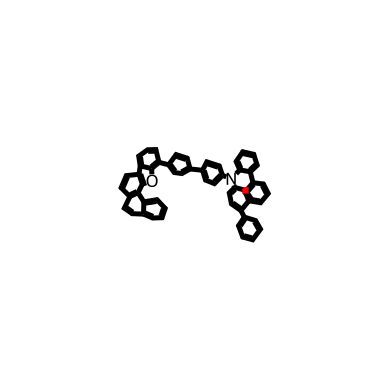 c1ccc(-c2ccc(N(c3ccc(-c4ccc(-c5cccc6c5oc5c6ccc6ccc7ccccc7c65)cc4)cc3)c3ccccc3-c3ccccc3)cc2)cc1